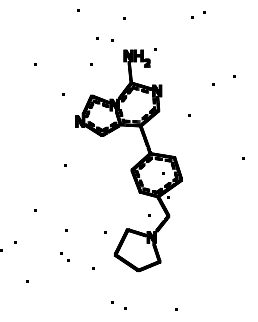 Nc1ncc(-c2ccc(CN3CCCC3)cc2)c2cncn12